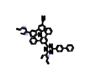 C=C/C=C\C(=C/C)c1ccc2c(c1)c1cc(C#N)ccc1n2-c1c(-c2ccccc2)cc(-c2nc(/C(C=C)=C/C=C)nc(-c3ccc(-c4ccccc4)cc3)n2)cc1-c1ccccc1